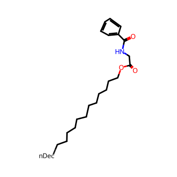 CCCCCCCCCCCCCCCCCCCCCCOC(=O)CNC(=O)c1ccccc1